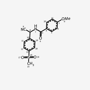 COc1ccc(C(=O)NC(C#N)c2ccc(S(C)(=O)=O)cc2)cc1